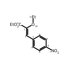 CCOC(=O)C(=Cc1ccc([N+](=O)[O-])cc1)OCC